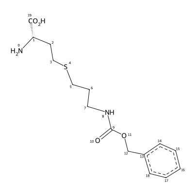 N[C@@H](CCSCCCNC(=O)OCc1ccccc1)C(=O)O